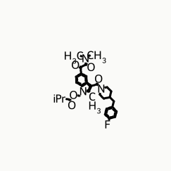 Cc1c(C(=O)N2CCC(Cc3ccc(F)cc3)CC2)c2cc(C(=O)C(=O)N(C)C)ccc2n1COC(=O)C(C)C